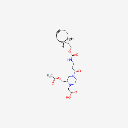 CC(=O)OCC1CN(C(=O)CCNC(=O)OCC2[C@H]3CCC#CCC[C@@H]23)CCN1CC(=O)O